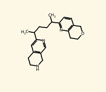 CC(CCC(C)c1ccc2c(n1)CCOC2)c1cc2c(cn1)CNCC2